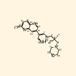 N=C/C(=C\NCC(F)(F)CN1CCOCC1)c1cnc2ccc(Cl)nc2c1